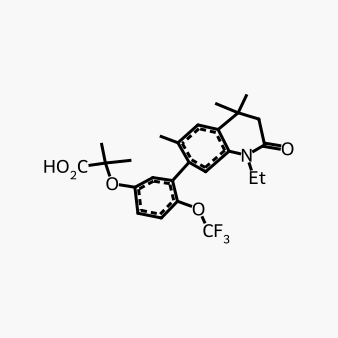 CCN1C(=O)CC(C)(C)c2cc(C)c(-c3cc(OC(C)(C)C(=O)O)ccc3OC(F)(F)F)cc21